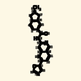 CN1Cc2ccc(C(=O)Nc3cc4nc(-c5cnco5)ccc4cn3)cc2C1